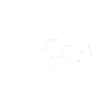 Cc1c([SH](C)C)ccc2c1NC(=O)C1(CC1)O2